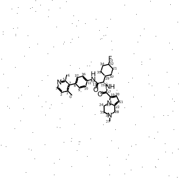 Cc1ccnc(C)c1-c1ccc(NC(=O)[C@@H](NC(=O)c2ccc3n2CCN(C)C3)C2CCC(F)CC2)cc1